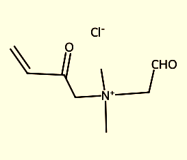 C=CC(=O)C[N+](C)(C)CC=O.[Cl-]